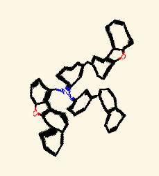 c1cc(-c2ccc3oc4ccccc4c3c2)cc(N(c2cccc(-c3cccc4ccccc34)c2)c2cccc3oc4c5ccccc5ccc4c23)c1